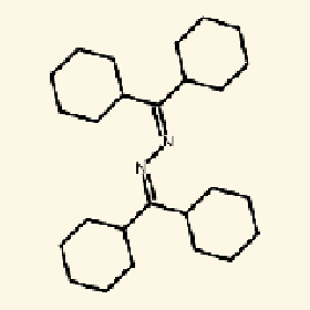 C1CCC(C(=NN=C(C2CCCCC2)C2CCCCC2)C2CCCCC2)CC1